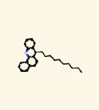 CCCCCCCCCCc1c2ccccc2nc2c1ccc1ccccc12